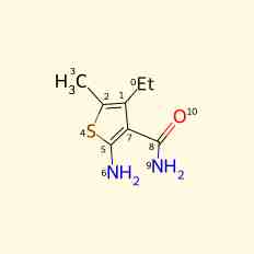 CCc1c(C)sc(N)c1C(N)=O